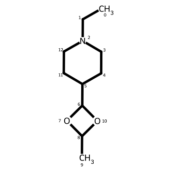 CCN1CCC(C2OC(C)O2)CC1